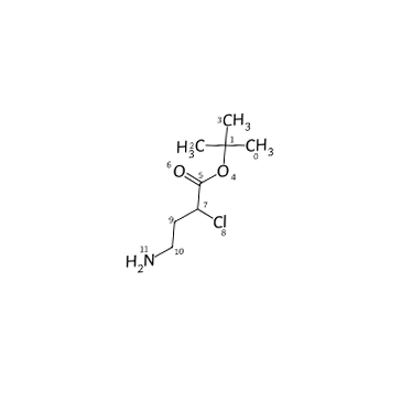 CC(C)(C)OC(=O)C(Cl)CCN